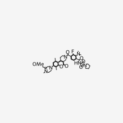 COC[C@H]1CN(c2cc(C)c3c4c(c(=O)oc3c2C)CN(C(=O)c2ccc(C(=O)NS(=O)(=O)N3CCCC3)c(N(C)C)c2F)CC4)CCN1C